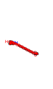 O=C(CCOCCOCCOCCOCCOCCOCCOCCOCCOCCOCCOCCOCCN1C(=O)c2ccccc2C1=O)N[C@@H](Cc1ccc(O)cc1)C(=O)OCc1ccccc1